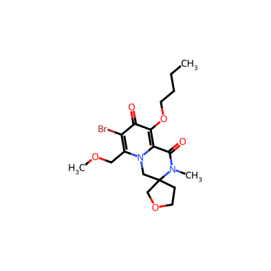 CCCCOc1c2n(c(COC)c(Br)c1=O)CC1(CCOC1)N(C)C2=O